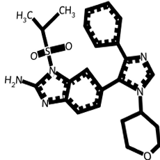 CC(C)S(=O)(=O)n1c(N)nc2ccc(-c3c(-c4ccccc4)ncn3C3CCOCC3)cc21